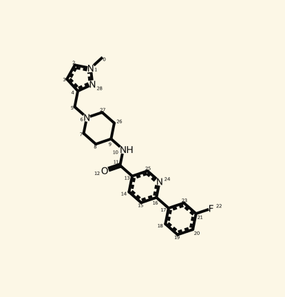 Cn1ccc(CN2CCC(NC(=O)c3ccc(-c4cccc(F)c4)nc3)CC2)n1